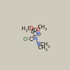 CCN(CC)CCn1c(C2CCCN2c2[c]cc(OC)cc2OC)c(-c2ccccc2)c2cc(Cl)ccc21